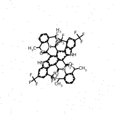 CC(C)c1cccc(C(C)C)c1N1C(=O)c2c3[nH]c4cc(C(F)(F)F)cc(C(F)(F)F)c4c3c3c4c(c5[nH]c6cc(C(F)(F)F)cc(C(F)(F)F)c6c5c(c24)C1=O)C(=O)N(c1c(C(C)C)cccc1C(C)C)C3=O